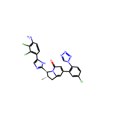 C[C@H]1Cc2cc(-c3cc(Cl)ccc3-n3cnnn3)cc(=O)n2[C@@H]1c1ncc(-c2ccc(N)c(F)c2F)[nH]1